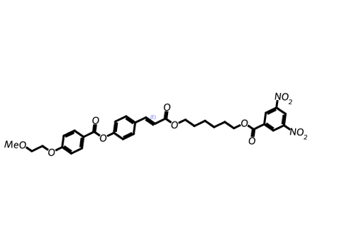 COCCOc1ccc(C(=O)Oc2ccc(/C=C/C(=O)OCCCCCCOC(=O)c3cc([N+](=O)[O-])cc([N+](=O)[O-])c3)cc2)cc1